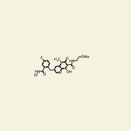 CCNC(=O)c1cc(F)ccc1Cc1cnc2c(O)c(C(=O)NCCOC)c(=O)n(C)c2c1